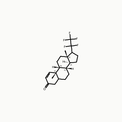 C[C@]12C=CC(=O)CC1CC[C@@H]1[C@H]2CC[C@]2(C)C(C(F)(F)C(F)(F)F)CC[C@@H]12